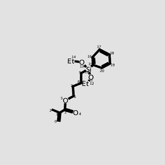 C=C(C)C(=O)OCCCC[Si](OCC)(OCC)c1ccccc1